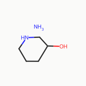 N.OC1CCCNC1